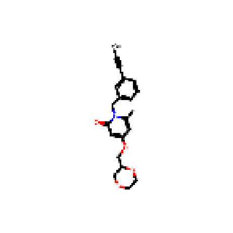 Cc1cc(OCC2COCCO2)cc(=O)n1Cc1cccc(C#CC(C)(C)C)c1